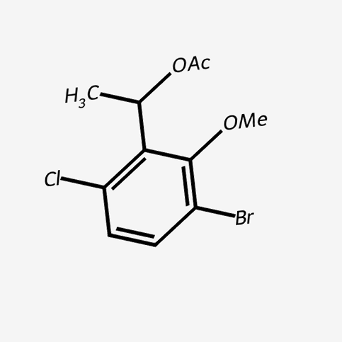 COc1c(Br)ccc(Cl)c1C(C)OC(C)=O